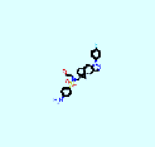 Nc1ccc(S(=O)(=O)N(CCO)C[C@@]23CCC4=Cc5c(cnn5-c5ccc(F)cc5)C[C@@]42C3)cc1